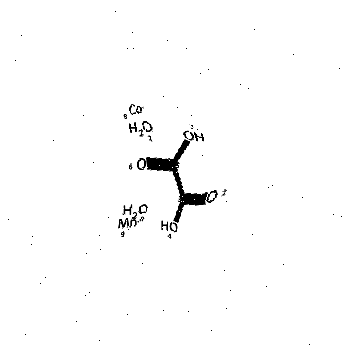 O.O.O=C(O)C(=O)O.[Co].[Mn]